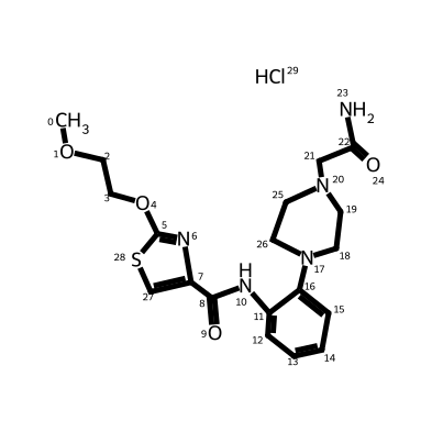 COCCOc1nc(C(=O)Nc2ccccc2N2CCN(CC(N)=O)CC2)cs1.Cl